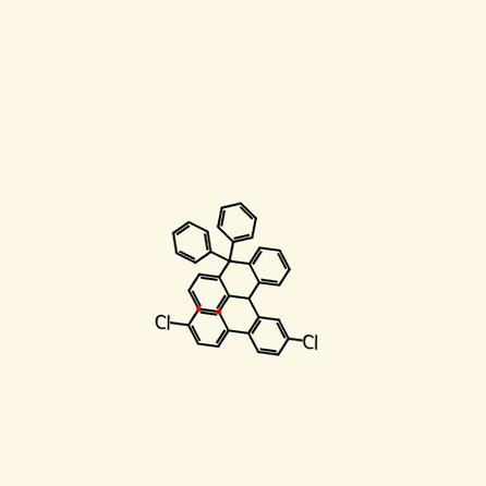 Clc1ccc(-c2ccc(Cl)cc2C2c3ccccc3C(c3ccccc3)(c3ccccc3)c3ccccc32)cc1